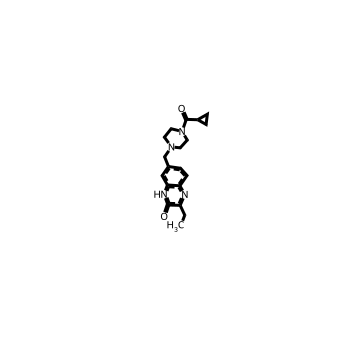 CCc1nc2ccc(CN3CCN(C(=O)C4CC4)CC3)cc2[nH]c1=O